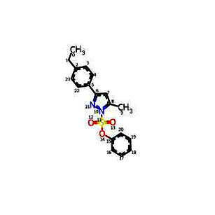 CCc1ccc(-c2cc(C)n(S(=O)(=O)Oc3ccccc3)n2)cc1